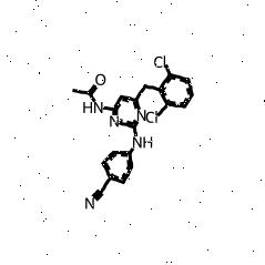 CC(=O)Nc1cc(Cc2c(Cl)cccc2Cl)nc(Nc2ccc(C#N)cc2)n1